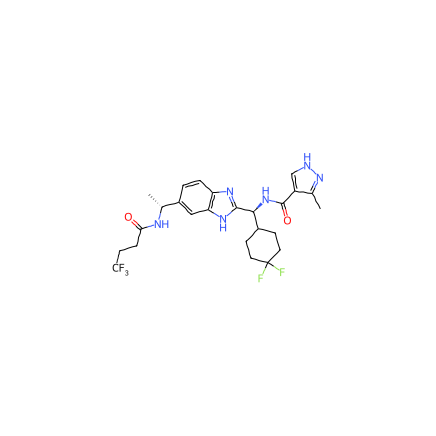 Cc1n[nH]cc1C(=O)N[C@H](c1nc2ccc([C@@H](C)NC(=O)CCC(F)(F)F)cc2[nH]1)C1CCC(F)(F)CC1